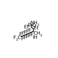 CCOC(N)(CCC(C)C(F)(F)C(F)(F)C(F)(F)C(F)(F)C(F)(F)C(F)(F)F)OCC.I